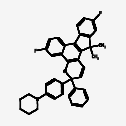 CC1(C)c2cc(F)ccc2-c2c1c1c(c3cc(F)ccc23)OC(c2ccccc2)(c2ccc(N3CCCCC3)cc2)C=C1